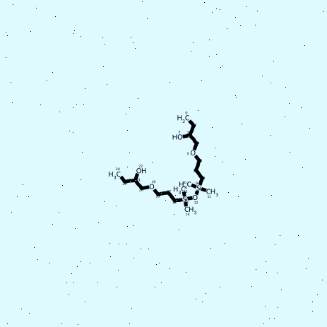 CCC(O)COCCC[Si](C)(C)O[Si](C)(C)CCCOCC(O)CC